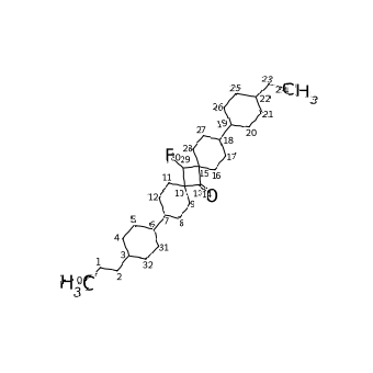 CCCC1CCC(C2CCC3(CC2)C(=O)C2(CCC(C4CCC(CC)CC4)CC2)C3F)CC1